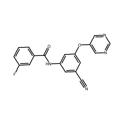 N#Cc1cc(NC(=O)c2cccc(F)c2)cc(Oc2cncnc2)c1